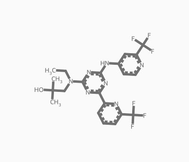 CCN(CC(C)(C)O)c1nc(Nc2ccnc(C(F)(F)F)c2)nc(-c2cccc(C(F)(F)F)n2)n1